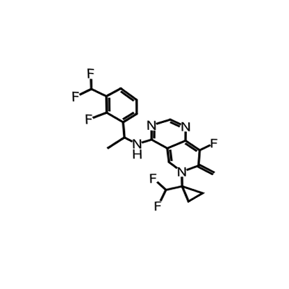 C=C1C(F)=c2ncnc(NC(C)c3cccc(C(F)F)c3F)c2=CN1C1(C(F)F)CC1